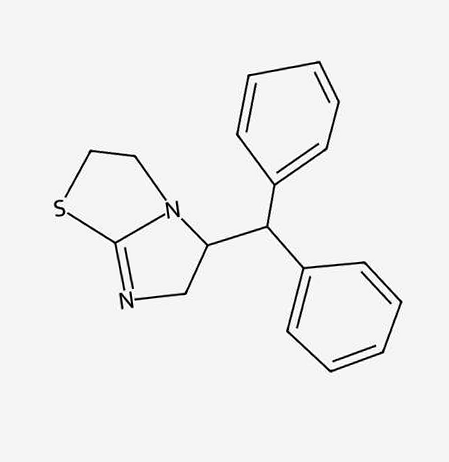 c1ccc(C(c2ccccc2)C2CN=C3SCCN32)cc1